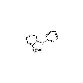 COc1ccccc1Oc1ccccc1